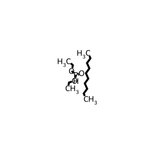 CCCCCCCCCC.CCO[PH](=O)OCC